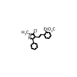 CCOC(=O)c1ccccc1C=Cc1c(-c2ccccc2)nn(C)c1Cl